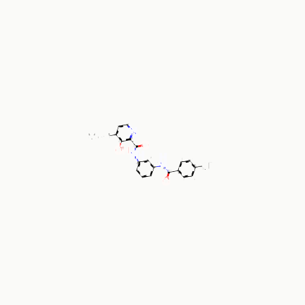 COc1ccnc(C(=O)Nc2cccc(NC(=O)c3ccc(C(F)(F)F)cc3)c2)c1O